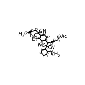 C=CC1CCCC=C1C(C#N)(C#N)C(C#CCOC(C)=O)C1CC=C(C(C#N)(C#N)CC#CC)C(CC)C1